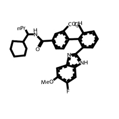 CCCC(NC(=O)c1ccc(-c2c(Cl)cccc2-c2nc3cc(OC)c(F)cc3[nH]2)c(C(=O)O)c1)C1CCCCC1